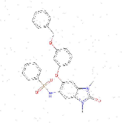 Cn1c(=O)n(C)c2cc(Oc3cccc(OCc4ccccc4)c3)c(NS(=O)(=O)c3ccccc3)cc21